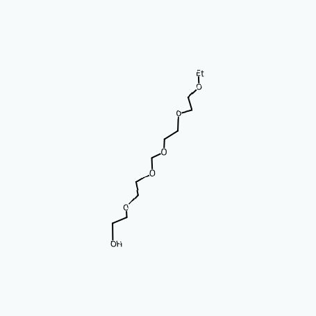 CCOCCOCCOCOCCOCCO